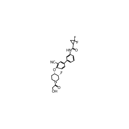 N#Cc1cc(-c2cccc(NC(=O)C3CC3(F)F)c2)ccc1O[C@H]1CCN(C(=O)CO)C[C@H]1F